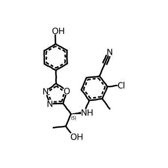 Cc1c(N[C@H](c2nnc(-c3ccc(O)cc3)o2)C(C)O)ccc(C#N)c1Cl